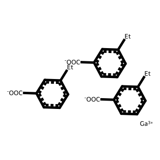 CCc1cccc(C(=O)[O-])c1.CCc1cccc(C(=O)[O-])c1.CCc1cccc(C(=O)[O-])c1.[Ga+3]